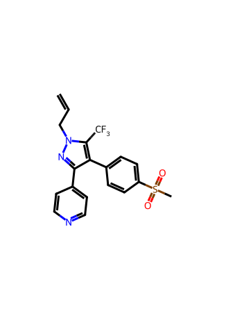 C=CCn1nc(-c2ccncc2)c(-c2ccc(S(C)(=O)=O)cc2)c1C(F)(F)F